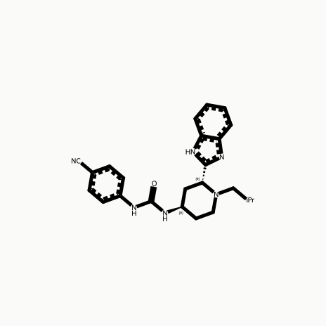 CC(C)CN1CC[C@@H](NC(=O)Nc2ccc(C#N)cc2)C[C@@H]1c1nc2ccccc2[nH]1